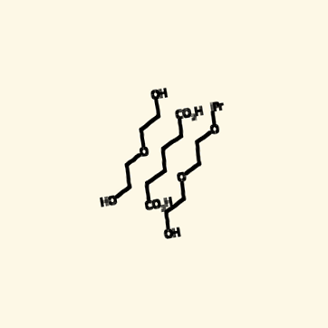 CC(C)OCCOCCO.O=C(O)CCCCC(=O)O.OCCOCCO